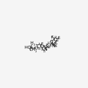 CC(C)(O)CCOc1ccc(F)c(-c2ccnc(N3CCC(C(=O)N4N=CCC4c4cc(F)cc(F)c4)CC3)n2)c1